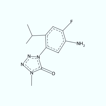 CC(C)c1cc(F)c(N)cc1-n1nnn(C)c1=O